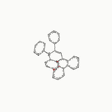 C(=C(/B(c1ccccc1)c1ccccc1)c1ccccc1)/c1nc2ccccc2c2ccccc12